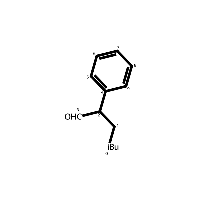 CCC(C)CC(C=O)c1ccccc1